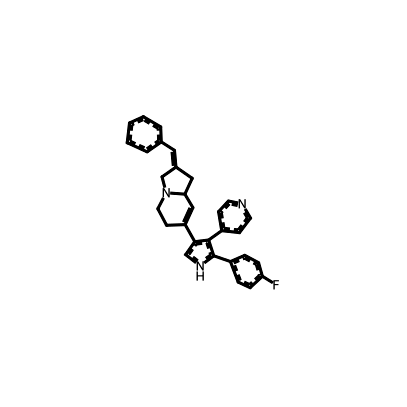 Fc1ccc(-c2[nH]cc(C3=CC4C/C(=C/c5ccccc5)CN4CC3)c2-c2ccncc2)cc1